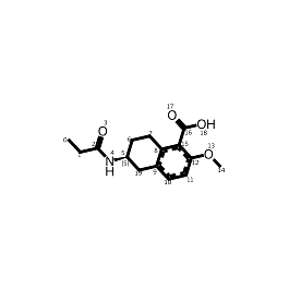 CCC(=O)N[C@H]1CCc2c(ccc(OC)c2C(=O)O)C1